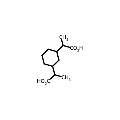 CC(C(=O)O)C1CCCC(C(C)C(=O)O)C1